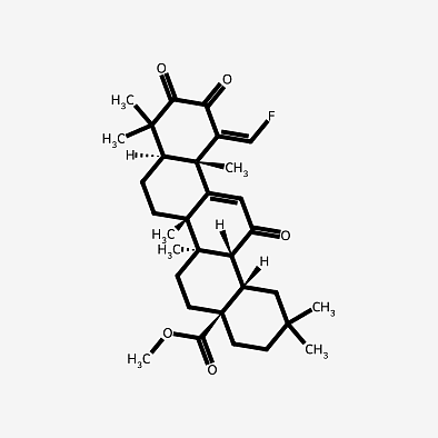 COC(=O)[C@]12CCC(C)(C)C[C@H]1[C@H]1C(=O)C=C3[C@@]4(C)/C(=C/F)C(=O)C(=O)C(C)(C)[C@@H]4CC[C@@]3(C)[C@]1(C)CC2